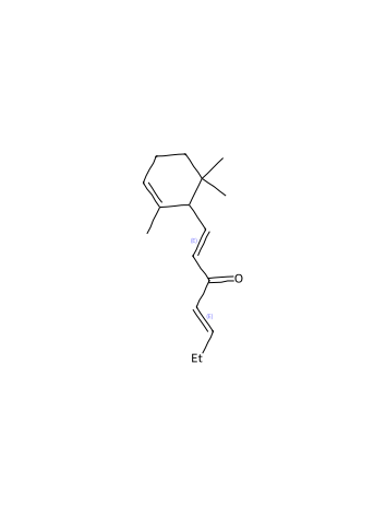 CC/C=C/C(=O)/C=C/C1C(C)=CCCC1(C)C